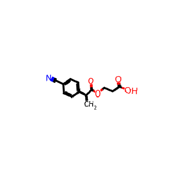 C=C(C(=O)OCCC(=O)O)c1ccc(C#N)cc1